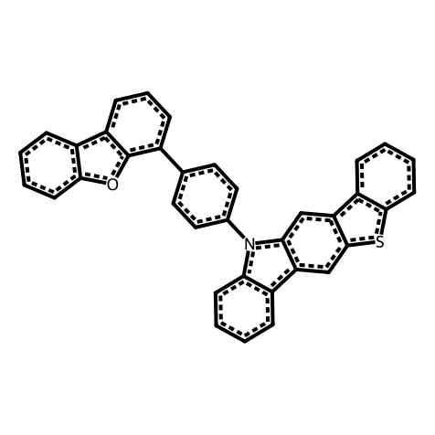 c1ccc2c(c1)oc1c(-c3ccc(-n4c5ccccc5c5cc6sc7ccccc7c6cc54)cc3)cccc12